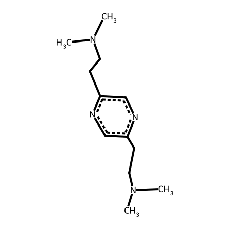 CN(C)CCc1cnc(CCN(C)C)cn1